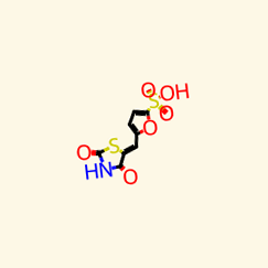 O=C1NC(=O)/C(=C/c2ccc(S(=O)(=O)O)o2)S1